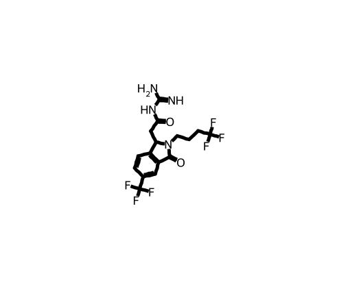 N=C(N)NC(=O)CC1c2ccc(C(F)(F)F)cc2C(=O)N1CCCC(F)(F)F